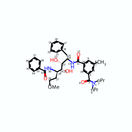 CCCN(CCC)C(=O)c1cc(C)cc(C(=O)N[C@@H](Cc2ccccc2)[C@@H](O)[C@H](O)[C@@H](CCOC)NC(=O)c2ccccc2)c1